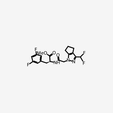 COC(=O)[C@H](Cc1cc(F)cc(F)c1)NC(=O)Cn1nc(C(F)F)c2c1CCC2